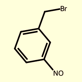 O=Nc1cccc(CBr)c1